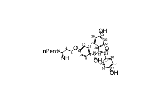 CCCCCC(=N)CCOc1ccc(C(O)c2c(-c3ccc(O)cc3)oc3cc(O)ccc23)cc1